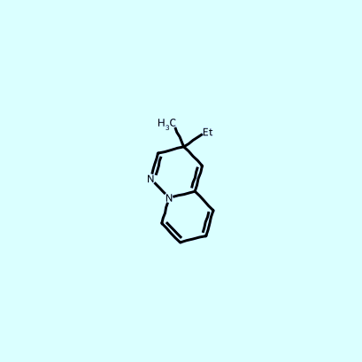 CCC1(C)C=NN2C=CC=CC2=C1